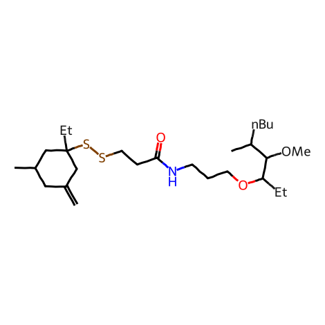 C=C1CC(C)CC(CC)(SSCCC(=O)NCCCOC(CC)C(OC)C(C)CCCC)C1